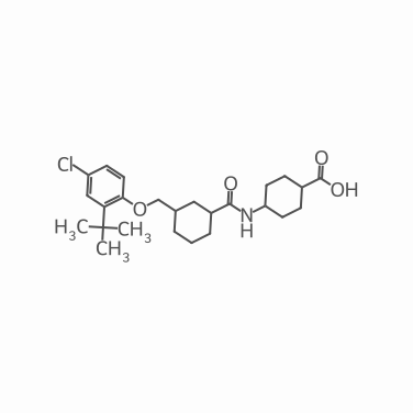 CC(C)(C)c1cc(Cl)ccc1OCC1CCCC(C(=O)NC2CCC(C(=O)O)CC2)C1